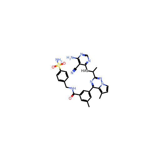 Cc1cc(C(=O)NCc2ccc(S(N)(=O)=O)cc2)cc(-c2nc(C(C)[AsH]c3ncnc(N)c3C#N)nn3ccc(C)c23)c1